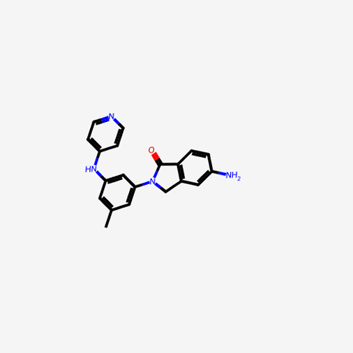 Cc1cc(Nc2ccncc2)cc(N2Cc3cc(N)ccc3C2=O)c1